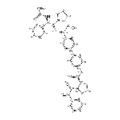 COC(=O)N[C@@H](C(=O)N1CCC[C@@H]1C(=O)Nc1ccc(-c2ccc(NC(=O)[C@H]3CCCN3C(=O)[C@H](C)c3ccccc3)cc2)cc1)c1ccccc1